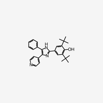 CC(C)(C)c1cc(-c2nc(-c3ccncc3)c(-c3ccccc3)[nH]2)cc(C(C)(C)C)c1O